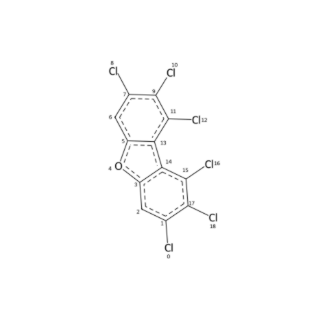 Clc1cc2oc3cc(Cl)c(Cl)c(Cl)c3c2c(Cl)c1Cl